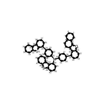 c1ccc2c(c1)ccc1c2oc2cccc(-c3ccc(N(c4ccc(-c5cccc6c5sc5ccccc56)cc4)c4cccc5sc6ccccc6c45)cc3)c21